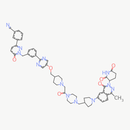 Cc1nn(C2CCC(=O)NC2=O)c(=O)c2cc(N3CCC(CN4CCN(C(=O)CN5CCC(COc6cnc(-c7cccc(Cn8nc(-c9cccc(C#N)c9)ccc8=O)c7)nc6)CC5)CC4)CC3)ccc12